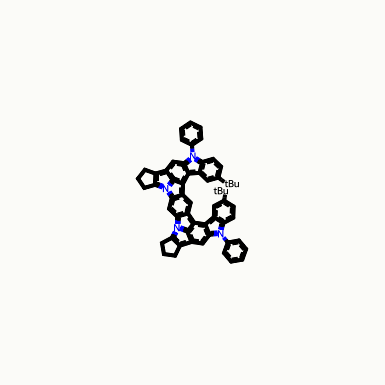 CC(C)(C)c1ccc2c(c1)c1c3c4cc5c6c7c8cc(C(C)(C)C)ccc8n(-c8ccccc8)c7cc7c8c(n(c5cc4n4c5c(c(cc1n2-c1ccccc1)c34)CCC5)c76)CCC8